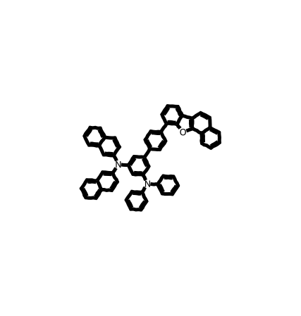 c1ccc(N(c2ccccc2)c2cc(-c3ccc(-c4cccc5c4oc4c6ccccc6ccc54)cc3)cc(N(c3ccc4ccccc4c3)c3ccc4ccccc4c3)c2)cc1